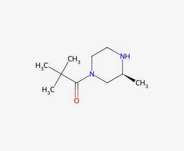 C[C@H]1CN(C(=O)C(C)(C)C)CCN1